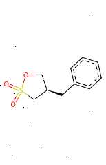 O=S1(=O)C[C@H](Cc2ccccc2)CO1